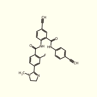 C#Cc1ccc(NC(=O)c2cc(C#C)ccc2NC(=O)c2ccc(C3=NCCN3C)cc2F)cc1